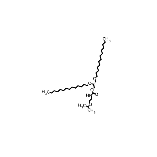 CCCCCCCCCCCCCCOC[C@H](COC(=O)NCCOC(C)C)OCCCCCCCCCCCCCC